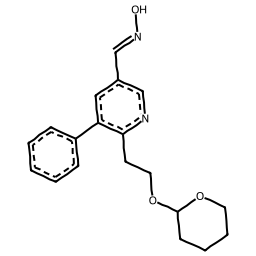 ON=Cc1cnc(CCOC2CCCCO2)c(-c2ccccc2)c1